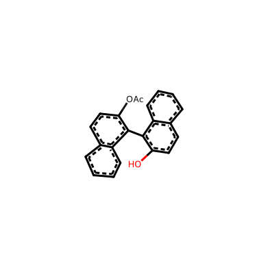 CC(=O)Oc1ccc2ccccc2c1-c1c(O)ccc2ccccc12